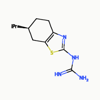 CC(C)[C@H]1CCc2nc(NC(=N)N)sc2C1